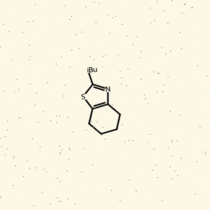 CCC(C)c1nc2c(s1)CCCC2